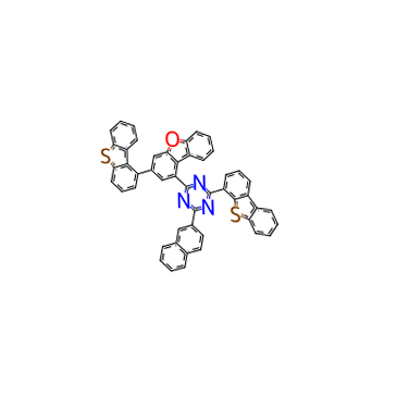 c1ccc2cc(-c3nc(-c4cccc5c4sc4ccccc45)nc(-c4cc(-c5cccc6sc7ccccc7c56)cc5oc6ccccc6c45)n3)ccc2c1